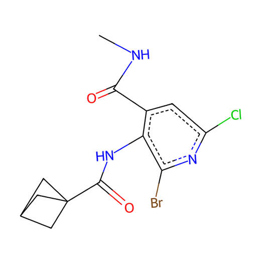 CNC(=O)c1cc(Cl)nc(Br)c1NC(=O)C12CC(C1)C2